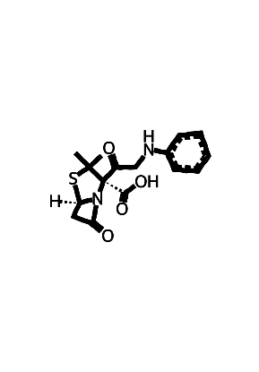 CC1(C)S[C@@H]2CC(=O)N2[C@]1(C(=O)O)C(=O)CNc1ccccc1